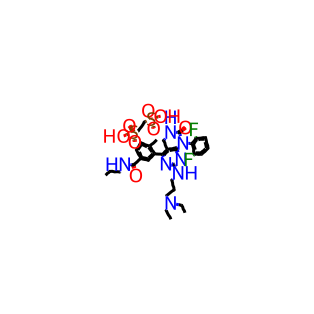 CCCNC(=O)c1ccc(C)c(-c2nc(NCCCN(CC)CC)nc3c2CNC(=O)N3c2c(F)cccc2F)c1.O=S(=O)(O)CCS(=O)(=O)O